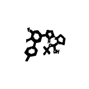 Cc1ccc(-c2cc(-c3cnc([C@@H]4CCCN4C(O)OC(C)(C)C)[nH]3)cc(F)c2I)cc1